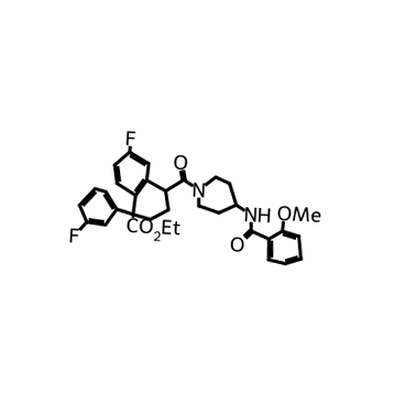 CCOC(=O)[C@@]1(c2cccc(F)c2)CCC(C(=O)N2CCC(NC(=O)c3ccccc3OC)CC2)c2cc(F)ccc21